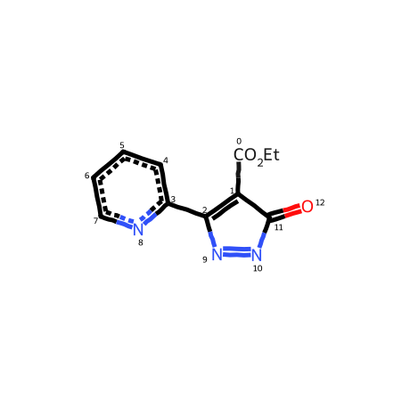 CCOC(=O)C1=C(c2ccccn2)N=NC1=O